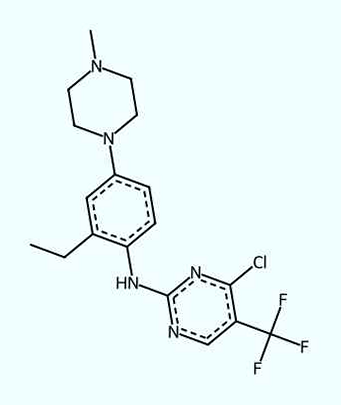 CCc1cc(N2CCN(C)CC2)ccc1Nc1ncc(C(F)(F)F)c(Cl)n1